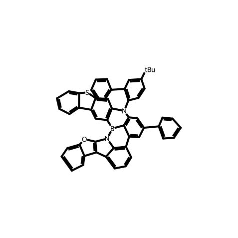 CC(C)(C)c1ccc(N2c3cc4sc5ccccc5c4cc3B3c4c(cc(-c5ccccc5)cc42)-c2cccc4c5c6ccccc6oc5n3c24)c(-c2ccccc2)c1